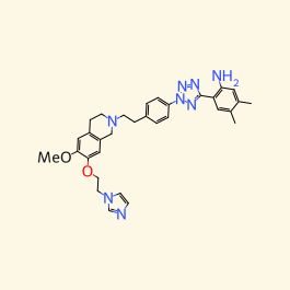 COc1cc2c(cc1OCCn1ccnc1)CN(CCc1ccc(-n3nnc(-c4cc(C)c(C)cc4N)n3)cc1)CC2